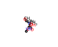 COc1ccc(C[C@@H](C)N(C[C@@H](O)c2ccc(OCc3ccccc3)c3[nH]c(=O)ccc23)C(C)=O)cc1